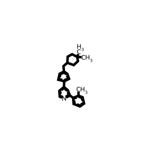 Cc1ccccc1-c1cc(-c2ccc(CC3CCC(C)(C)CC3)cc2)ccn1